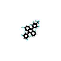 Fc1ccc2c(-c3c(F)c(F)c(C(F)(F)F)c(F)c3F)c3c(F)ccc(F)c3c(-c3c(F)c(F)cc(F)c3F)c2c1